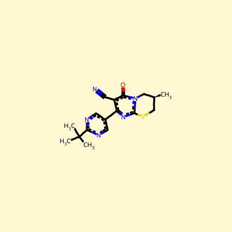 C[C@H]1CSc2nc(-c3cnc(C(C)(C)C)nc3)c(C#N)c(=O)n2C1